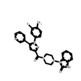 O=C(c1cc(-c2cccnc2)n(-c2ccc(C(F)(F)F)c(F)c2)n1)N1CCN(n2c(=O)[nH]c3ccccc32)CC1